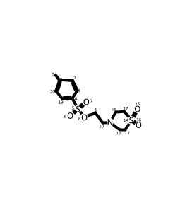 Cc1ccc(S(=O)(=O)OCCN2CCS(=O)(=O)CC2)cc1